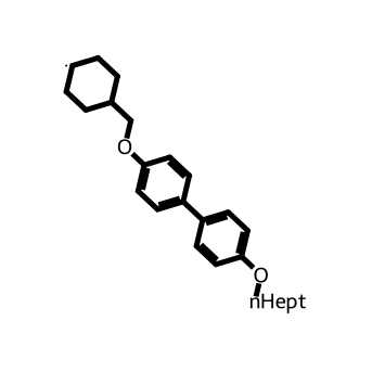 CCCCCCCOc1ccc(-c2ccc(OCC3CC[CH]CC3)cc2)cc1